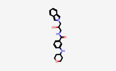 O=C(NCC(O)Cn1cc2ccccc2c1)c1cccc(NC2CCOCC2)c1